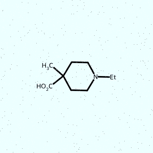 CCN1CCC(C)(C(=O)O)CC1